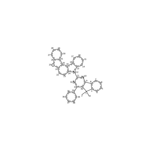 CC1(C)c2ccccc2-c2nc(-n3c4ccccc4c4c5c(ccc43)oc3ccccc35)nc(-c3ccccc3)c21